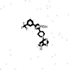 Cl.FC(F)(F)c1cccc(-c2c[nH]c(C3CCN(c4ncnc5[nH]ncc45)CC3)n2)c1